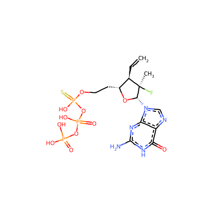 C=C[C@@H]1[C@@H](CCOP(O)(=S)OP(=O)(O)OP(=O)(O)O)O[C@@H](n2cnc3c(=O)[nH]c(N)nc32)[C@]1(C)F